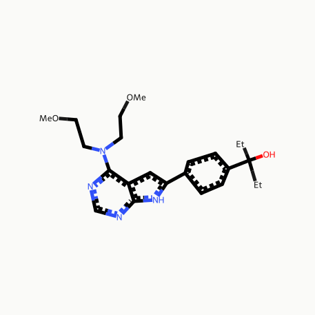 CCC(O)(CC)c1ccc(-c2cc3c(N(CCOC)CCOC)ncnc3[nH]2)cc1